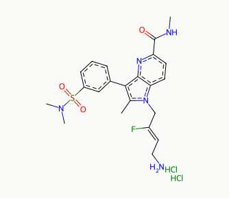 CNC(=O)c1ccc2c(n1)c(-c1cccc(S(=O)(=O)N(C)C)c1)c(C)n2C/C(F)=C/CN.Cl.Cl